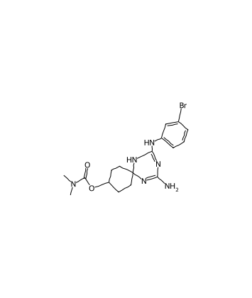 CN(C)C(=O)OC1CCC2(CC1)N=C(N)N=C(Nc1cccc(Br)c1)N2